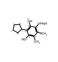 CCCCCCCc1c(C)c(C)c(O)c(C2CCCC2)c1O